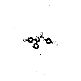 FC(F)(F)c1ccc(S/N=C(/Cl)N2CC(c3ccccc3)C(c3ccc(Cl)cc3)=N2)cc1